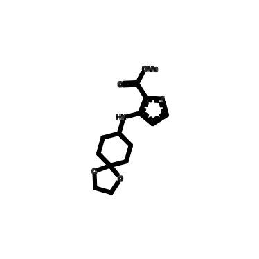 COC(=O)c1sccc1NC1CCC2(CC1)OCCO2